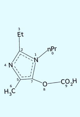 CCCn1c(CC)nc(C)c1OC(=O)O